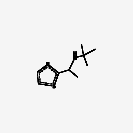 CC(NC(C)(C)C)c1nccs1